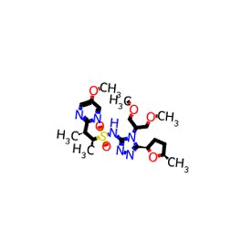 COCC(COC)n1c(NS(=O)(=O)[C@@H](C)[C@H](C)c2ncc(OC)cn2)nnc1[C@H]1CC[C@@H](C)O1